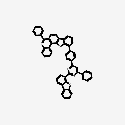 c1ccc(-c2cc(-c3ccc(-c4cccc5c4oc4c5ccc5c(-c6ccccc6)nc6ccccc6c54)cc3)nc(-c3cccc4c3oc3ccccc34)n2)cc1